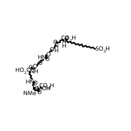 CN[C@@H](CSCC(=O)NCCCC[C@@H](NC(=O)COCCOCCNC(=O)COCCOCCNC(=O)CC[C@H](NC(=O)CCCCCCCCCCCCCCCS(=O)(=O)O)C(=O)O)C(=O)O)C(=O)N[C@@H](CO)C(=O)O